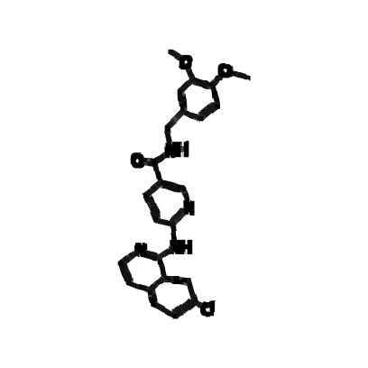 COc1ccc(CNC(=O)c2ccc(Nc3nccc4ccc(Cl)cc34)nc2)cc1OC